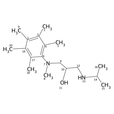 Cc1c(C)c(C)c(N(C)CC(O)CNC(C)C)c(C)c1C